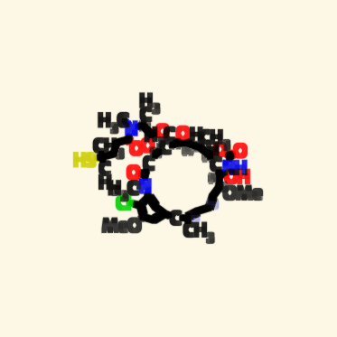 COc1cc2cc(c1Cl)N(C)C(=O)C[C@H](OC(=O)[C@H](C)N(C)C(=O)CCC(C)(C)S)C[C@@]1(C)O[C@H]1[C@H](C)[C@@H]1C[C@@](O)(NC(=O)O1)[C@H](OC)/C=C/C=C(\C)C2